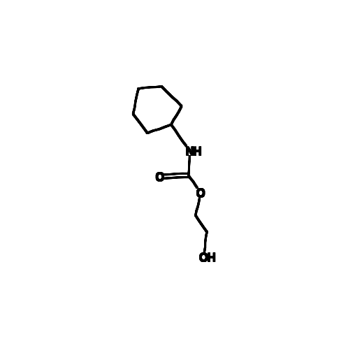 O=C(NC1CCCCC1)OCCO